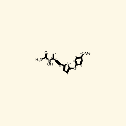 COc1ccc(Oc2ccc(C#CC(C)N(O)C(N)=O)s2)cc1